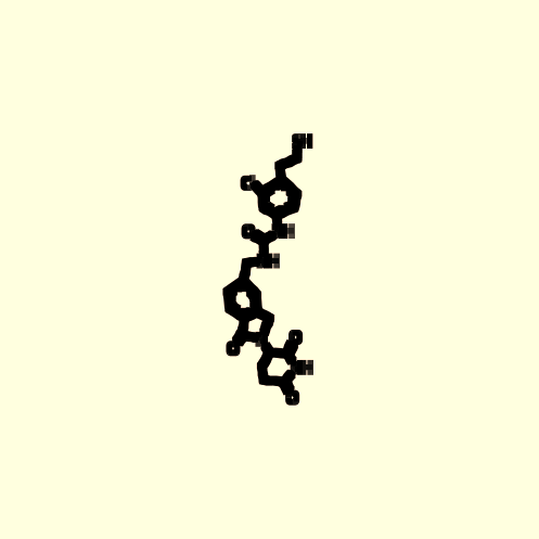 O=C1CCC(N2Cc3cc(CNC(=O)Nc4ccc(CCS)c(Cl)c4)ccc3C2=O)C(=O)N1